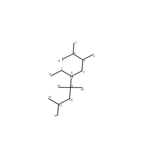 CCN(CC(C)C(C)I)C(C)(C)CC(C)C